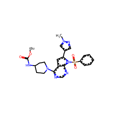 Cn1cc(-c2cc3c(N4CCC(NC(=O)OC(C)(C)C)CC4)ncnc3n2S(=O)(=O)c2ccccc2)cn1